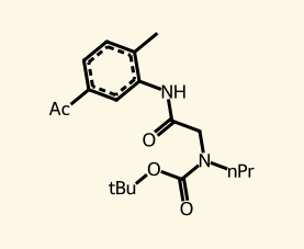 CCCN(CC(=O)Nc1cc(C(C)=O)ccc1C)C(=O)OC(C)(C)C